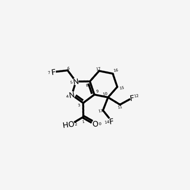 O=C(O)c1nn(CF)c2c1C(CF)(CF)CCC2